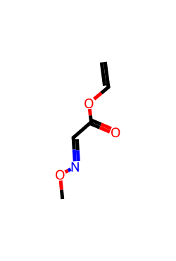 C=COC(=O)C=NOC